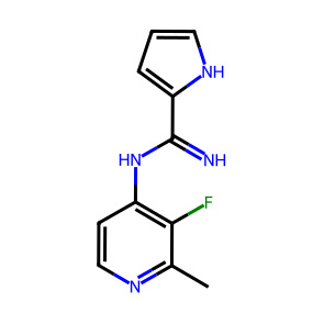 Cc1nccc(NC(=N)c2ccc[nH]2)c1F